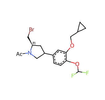 CC(=O)N1CC(c2ccc(OC(F)F)c(OCC3CC3)c2)C[C@@H]1CBr